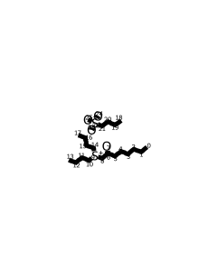 CCCCCCC(=O)C[S+](CCCC)CCCC.CCCCS(=O)(=O)[O-]